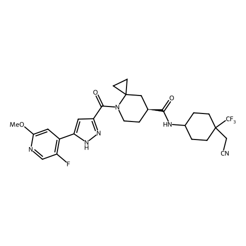 COc1cc(-c2cc(C(=O)N3CC[C@H](C(=O)NC4CCC(CC#N)(C(F)(F)F)CC4)CC34CC4)n[nH]2)c(F)cn1